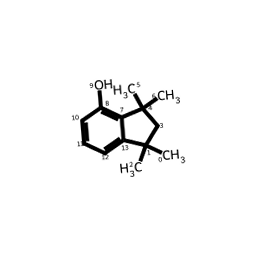 CC1(C)CC(C)(C)c2c(O)cccc21